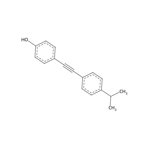 CC(C)c1ccc(C#Cc2ccc(O)cc2)cc1